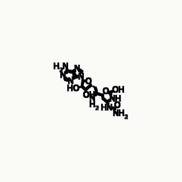 NC(=O)NC(CCC(N)C[C@H]1O[C@@H](n2cnc3c(N)ncnc32)[C@H](O)[C@@H]1O)NC(=O)O